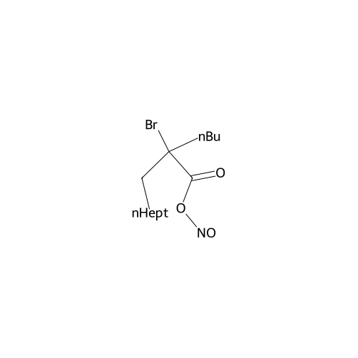 CCCCCCCCC(Br)(CCCC)C(=O)ON=O